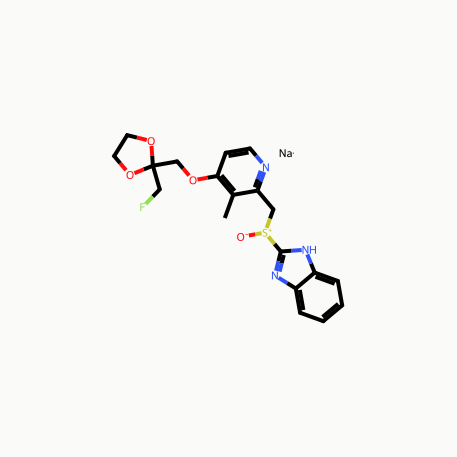 Cc1c(OCC2(CF)OCCO2)ccnc1C[S+]([O-])c1nc2ccccc2[nH]1.[Na]